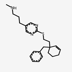 CNCCCc1cnc(SCCC2(Cc3ccccc3)C=CCCC2)nc1